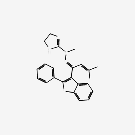 CC(C)=C/C(=N\N(C)C1=NCCN1)c1c(-c2ccccc2)[nH]c2ccccc12